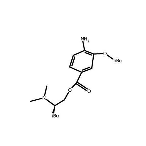 CCCCOc1cc(C(=O)OC[C@@H](C(C)CC)N(C)C)ccc1N